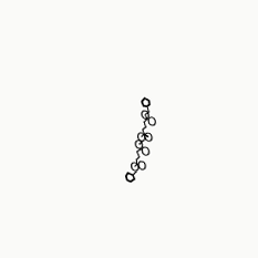 O=C(CCCC(=O)OCc1ccccc1)OCOC(=O)CCCC(=O)OCc1ccccc1